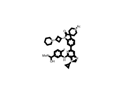 CNC(O)c1ccc(F)c(Nc2nc(-c3ccc4c(c3)N([C@H]3C[C@@H](N5CCCCC5)C3)C(=O)C43CCN(C(C)=O)CC3)cc3ncn(C4CC4)c23)c1